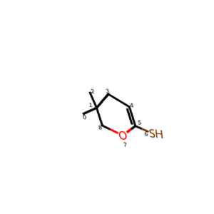 CC1(C)CC=C(S)OC1